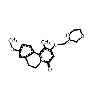 COc1ccc2c(c1)CCn1c-2c(C)c(OC[C@@H]2COCCO2)cc1=O